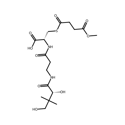 COC(=O)CCC(=O)SC[C@H](NC(=O)CCNC(=O)[C@H](O)C(C)(C)CO)C(=O)O